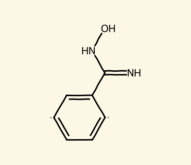 N=C(NO)c1[c]cc[c]c1